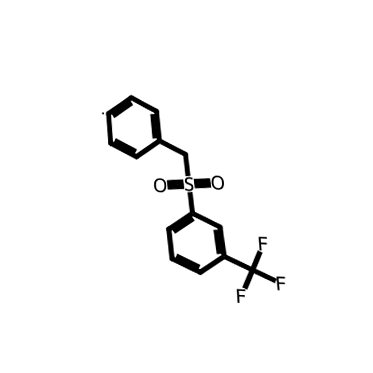 O=S(=O)(Cc1cc[c]cc1)c1cccc(C(F)(F)F)c1